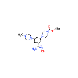 CN1CCN(c2cc(/C(N)=N/O)cc(N3CCN(C(=O)OC(C)(C)C)CC3)c2)CC1